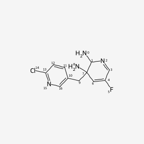 NC1N=CC(F)=CC1(N)Cc1ccc(Cl)nc1